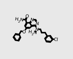 NC(=O)c1cc(OCc2ccccc2)cc2c(N(N)CCCc3cccc(Cl)c3)ncnc12